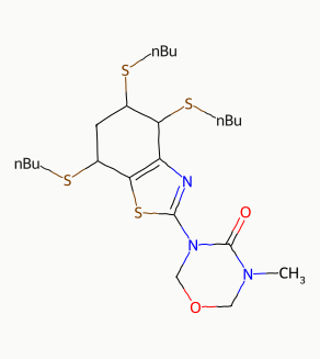 CCCCSC1CC(SCCCC)C(SCCCC)c2nc(N3COCN(C)C3=O)sc21